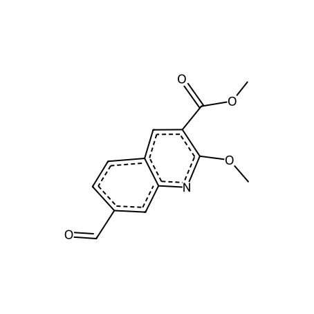 COC(=O)c1cc2ccc(C=O)cc2nc1OC